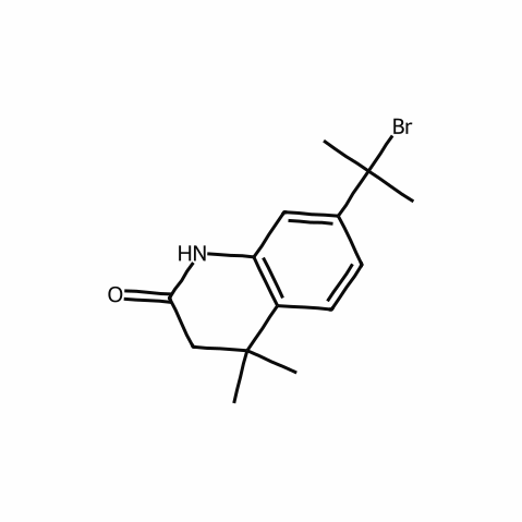 CC(C)(Br)c1ccc2c(c1)NC(=O)CC2(C)C